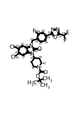 CC(C)(C)OC(=O)N1CCC(n2c(=O)n(Cc3ccc(-c4nnc(C(F)F)o4)cc3F)c3cc(Cl)c(Cl)cc32)CC1